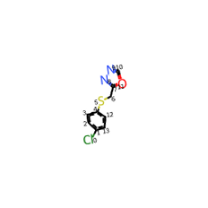 Clc1ccc(SCc2nnco2)cc1